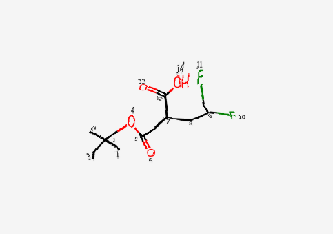 CC(C)(C)OC(=O)[C@H](CC(F)F)C(=O)O